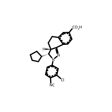 [C-]#[N+]c1ccc(N2N=C3c4ccc(C(=O)O)cc4CC[C@H]3[C@H]2C2CCCC2)cc1Cl